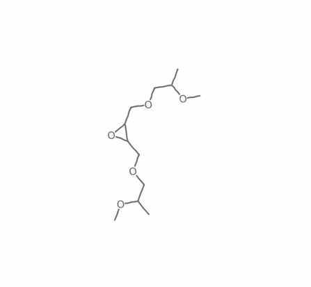 COC(C)COCC1OC1COCC(C)OC